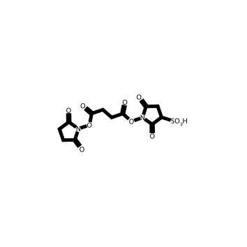 O=C(CCC(=O)ON1C(=O)CC(S(=O)(=O)O)C1=O)ON1C(=O)CCC1=O